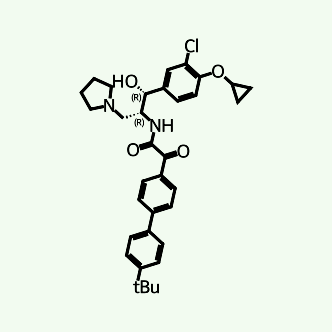 CC(C)(C)c1ccc(-c2ccc(C(=O)C(=O)N[C@H](CN3CCCC3)[C@H](O)c3ccc(OC4CC4)c(Cl)c3)cc2)cc1